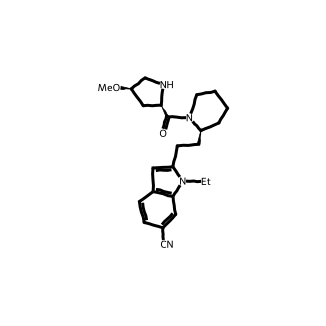 CCn1c(CC[C@@H]2CCCCN2C(=O)[C@H]2C[C@@H](OC)CN2)cc2ccc(C#N)cc21